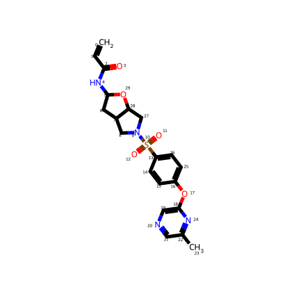 C=CC(=O)NC1CC2CN(S(=O)(=O)c3ccc(Oc4cncc(C)n4)cc3)CC2O1